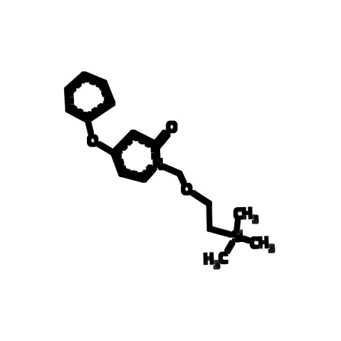 C[Si](C)(C)CCOCn1ccc(Oc2ccccc2)cc1=O